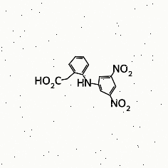 O=C(O)Cc1ccccc1Nc1cc([N+](=O)[O-])cc([N+](=O)[O-])c1